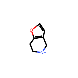 [C]1NCCc2occc21